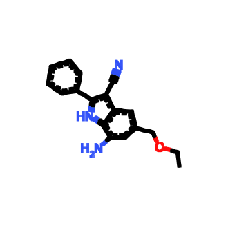 CCOCc1cc(N)c2[nH]c(-c3ccccc3)c(C#N)c2c1